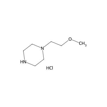 COCCN1CCNCC1.Cl